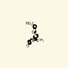 Cc1nn(Cc2ccc(Cl)cc2)c2c1CCN(C(=O)C[C@H]1CC[C@H](C(=O)O)CC1)C2